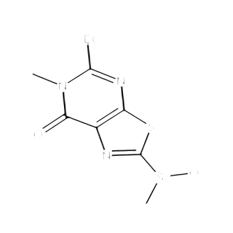 CCc1nc2sc([S+](C)[O-])nc2c(=O)n1C